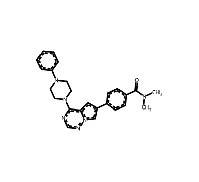 CN(C)C(=O)c1ccc(-c2cc3c(N4CCN(c5ccccc5)CC4)ncnn3c2)cc1